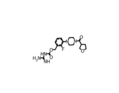 N=C(N)NC(=O)OCc1cccc(N2CCN(C(=O)C3CCOC3)CC2)c1F